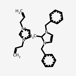 C=CCn1cc[n+](CC=C)c1.CC1N(Cc2ccccc2)C=CN1Cc1ccccc1